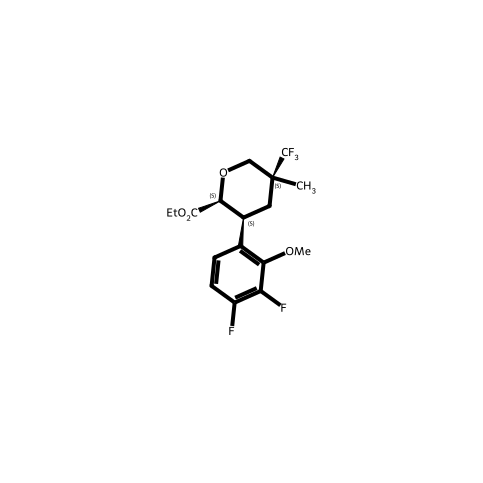 CCOC(=O)[C@H]1OC[C@@](C)(C(F)(F)F)C[C@H]1c1ccc(F)c(F)c1OC